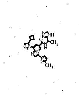 Cc1ccc(-c2cnc3c(-n4nncc4C4CCC4)cc(C(=O)NC(C)c4nnc[nH]4)cn23)s1